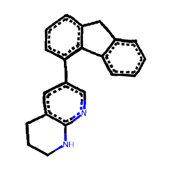 c1ccc2c(c1)Cc1cccc(-c3cnc4c(c3)CCCN4)c1-2